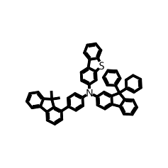 CC1(C)c2ccccc2-c2cccc(-c3ccc(N(c4ccc5c(c4)C(C4=CC=CCC4)(c4ccccc4)c4ccccc4-5)c4ccc5c(c4)sc4ccccc45)cc3)c21